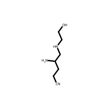 N#CCCC(N)CNCCO